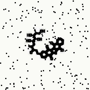 C[C@H](CO)[C@@H](O)[C@H](O)[C@@H](O)CN(C)C(=O)CCc1ccc2c(=O)c3sc4c(=O)c5ccccc5c(=O)c4c3c(=O)c2c1